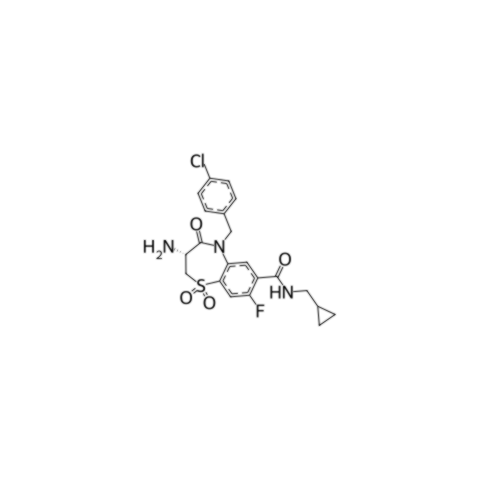 N[C@H]1CS(=O)(=O)c2cc(F)c(C(=O)NCC3CC3)cc2N(Cc2ccc(Cl)cc2)C1=O